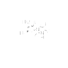 O=c1[nH]c(=O)n([C@@H]2C[C@@H](O)[C@H](CO)[C@@H]2F)cc1I